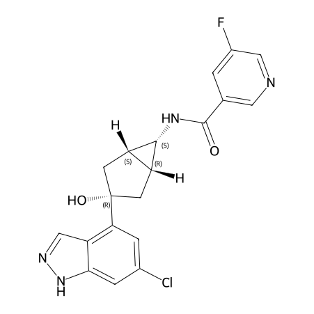 O=C(N[C@@H]1[C@@H]2C[C@@](O)(c3cc(Cl)cc4[nH]ncc34)C[C@@H]21)c1cncc(F)c1